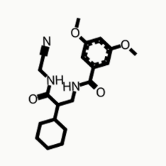 COc1cc(OC)cc(C(=O)NCC(C(=O)NCC#N)C2CCCCC2)c1